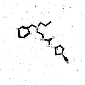 CCCN(CCNC(=O)N[C@@H]1CCN(C#N)C1)Cc1ccccc1